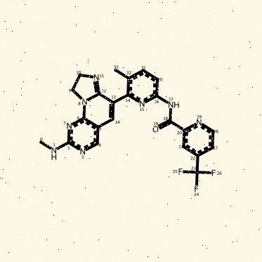 CNc1ncc2c(n1)N1CCN=C1C(c1nc(NC(=O)c3cc(C(F)(F)F)ccn3)ccc1C)=C2